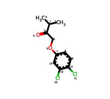 CC(C)C(=O)COc1ccc(Cl)c(Cl)c1